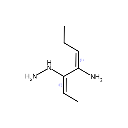 C/C=C(NN)\C(N)=C/CC